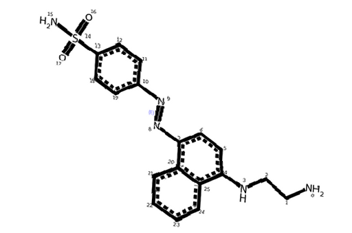 NCCNc1ccc(/N=N/c2ccc(S(N)(=O)=O)cc2)c2ccccc12